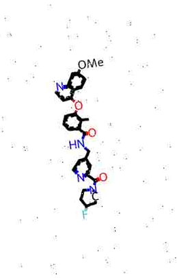 COc1ccc2c(Oc3cccc(C(=O)NCc4ccnc(C(=O)N5CCC(F)CC5)c4)c3C)ccnc2c1